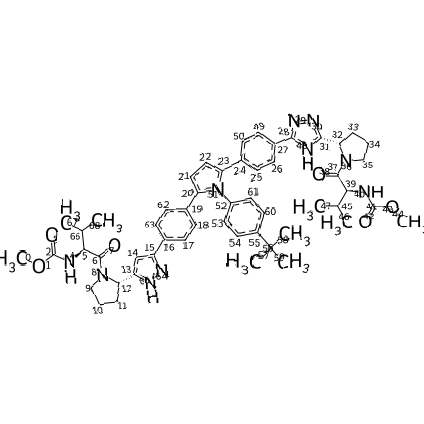 COC(=O)N[C@H](C(=O)N1CCC[C@H]1c1cc(-c2ccc(-c3ccc(-c4ccc(-c5nnc([C@@H]6CCCN6C(=O)[C@@H](NC(=O)OC)C(C)C)[nH]5)cc4)n3-c3ccc(C(C)(C)C)cc3)cc2)n[nH]1)C(C)C